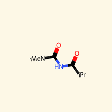 C[N]C(=O)NC(=O)C(C)C